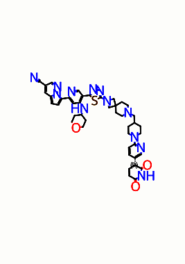 N#Cc1cnn2c(-c3cc(NC4CCOCC4)c(-c4nnc(N5CC6(CCN(CC7CCN(c8ccc([C@H]9CCC(=O)NC9=O)cn8)CC7)CC6)C5)s4)cn3)ccc2c1